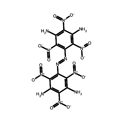 Nc1c([N+](=O)[O-])c(N)c([N+](=O)[O-])c(/N=N/c2c([N+](=O)[O-])c(N)c([N+](=O)[O-])c(N)c2[N+](=O)[O-])c1[N+](=O)[O-]